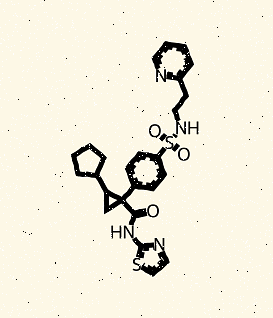 O=C(Nc1nccs1)C1(c2ccc(S(=O)(=O)NCCc3ccccn3)cc2)CC1C1CCCC1